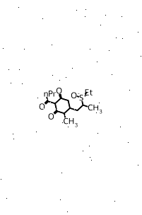 CCCC(=O)C1C(=O)CC(CC(C)[S+]([O-])CC)C(C)C1=O